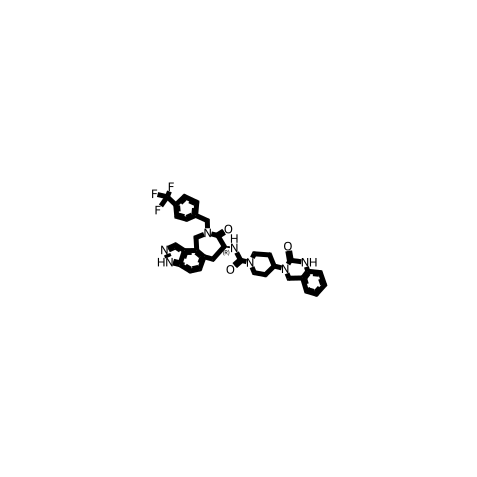 O=C(N[C@@H]1Cc2ccc3[nH]ncc3c2CN(Cc2ccc(C(F)(F)F)cc2)C1=O)N1CCC(N2Cc3ccccc3NC2=O)CC1